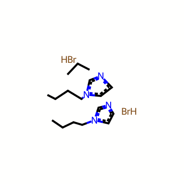 Br.Br.CCC.CCCCn1ccnc1.CCCCn1ccnc1